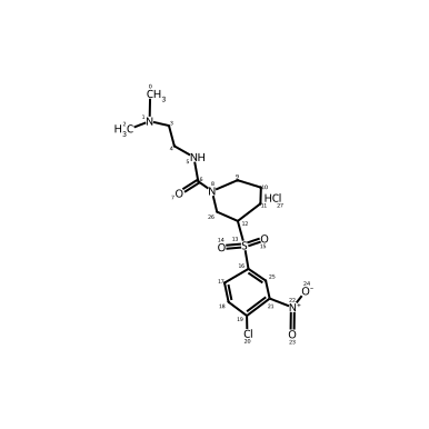 CN(C)CCNC(=O)N1CCCC(S(=O)(=O)c2ccc(Cl)c([N+](=O)[O-])c2)C1.Cl